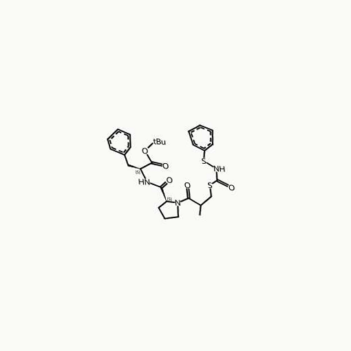 CC(CSC(=O)NSc1ccccc1)C(=O)N1CCC[C@H]1C(=O)N[C@@H](Cc1ccccc1)C(=O)OC(C)(C)C